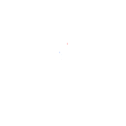 CCC(=Cc1ccccc1)C1CC1NC1CC2(CCN(CCC(=O)O)CC2)C1